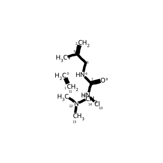 C=C.C=C(C)CNC(=O)NCl.CN(C)C